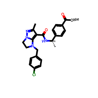 COC(=O)c1ccc([C@H](C)NC(=O)c2c(C)nn3c2N(Cc2ccc(Cl)cc2)CC3)cc1